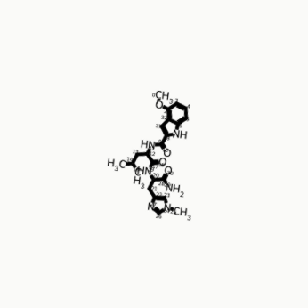 COc1cccc2[nH]c(C(=O)NC(CC(C)C)C(=O)NC(Cc3cn(C)cn3)C(N)=O)cc12